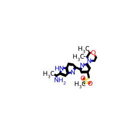 CC(N)c1cc2nc(-c3cc(CS(C)(=O)=O)cc(N4CCO[C@H](C)[C@H]4C)n3)ccc2[nH]1